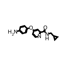 Nc1ccc(Oc2ccnc(C(=O)NCC3CC3)c2)cc1